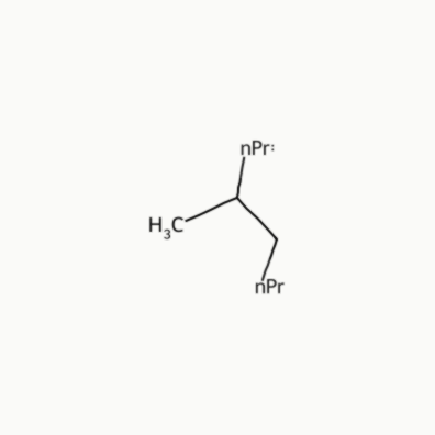 CC[C]C(C)CCCC